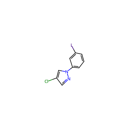 Clc1cnn(-c2cccc(I)c2)c1